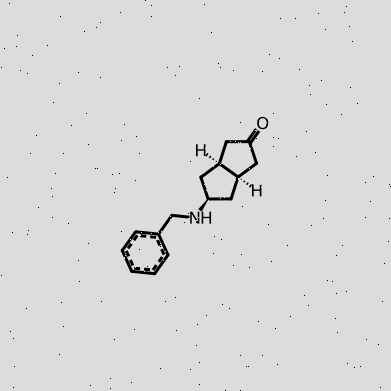 O=C1C[C@@H]2C[C@H](NCc3ccccc3)C[C@@H]2C1